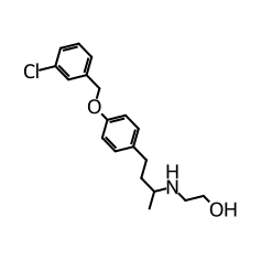 CC(CCc1ccc(OCc2cccc(Cl)c2)cc1)NCCO